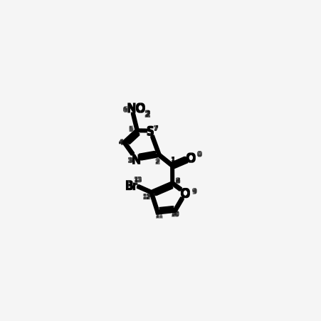 O=C(c1ncc([N+](=O)[O-])s1)c1occc1Br